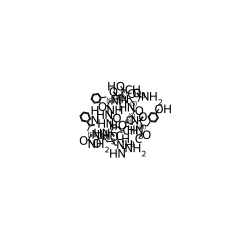 CC(=O)N[C@H](Cc1ccc(O)cc1)C(=O)N1C[C@H](O)C[C@H]1C(=O)N[C@@H](CC(N)=O)C(=O)N[C@H](C(=O)N[C@@H](Cc1ccccc1)C(=O)NNC(=O)N[C@@H](CC(C)C)C(=O)N[C@@H](CCCNC(=N)N)C(=O)N[C@@H](Cc1c[nH]c2ccccc12)C(N)=O)[C@@H](C)O